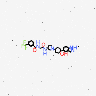 O=C(CNC(=O)c1cccc(C(F)(F)F)c1)N[C@@H]1CCN(C2CCC(O)(c3ccc4[nH]ncc4c3)CC2)C1